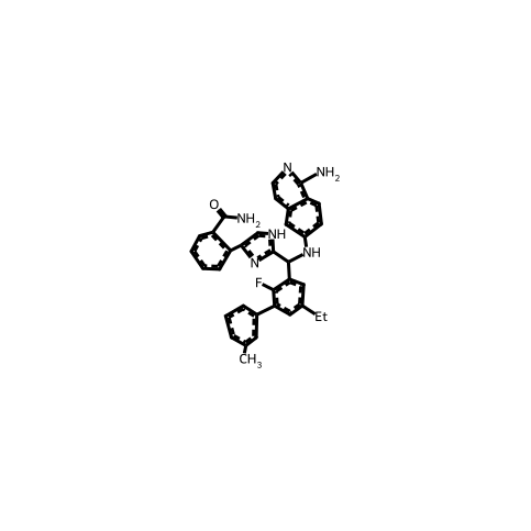 CCc1cc(-c2cccc(C)c2)c(F)c(C(Nc2ccc3c(N)nccc3c2)c2nc(-c3ccccc3C(N)=O)c[nH]2)c1